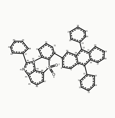 O=S1(=O)c2c(-c3ccc4c(-c5ccccc5)c5ccccc5c(-c5ccccc5)c4c3)cccc2-n2c(-c3ccccc3)nc3cccc1c32